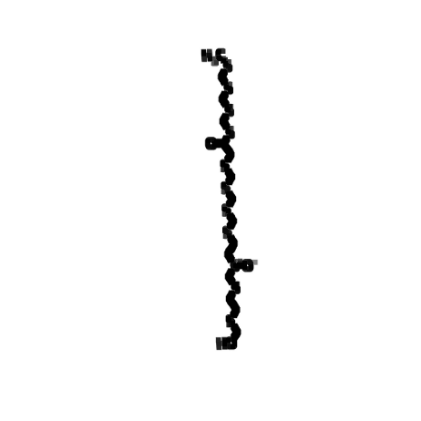 CSCSCSCSC(=O)CSCSCSCSCC[S+]([O-])CSCCSCO